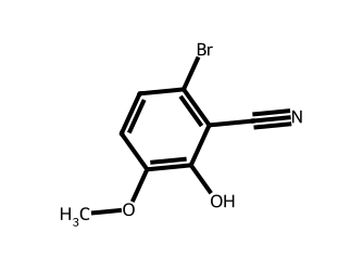 COc1ccc(Br)c(C#N)c1O